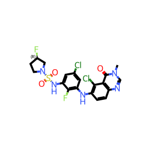 Cn1cnc2ccc(Nc3cc(Cl)cc(NS(=O)(=O)N4CC[C@@H](F)C4)c3F)c(Cl)c2c1=O